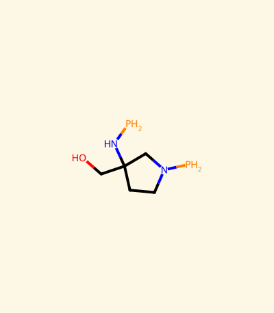 OCC1(NP)CCN(P)C1